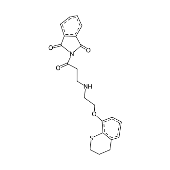 O=C(CCNCCOc1cccc2c1SCCC2)N1C(=O)c2ccccc2C1=O